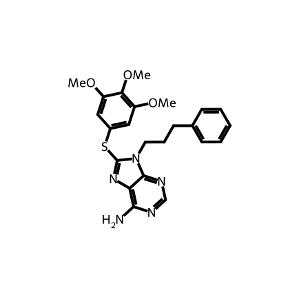 COc1cc(Sc2nc3c(N)ncnc3n2CCCc2ccccc2)cc(OC)c1OC